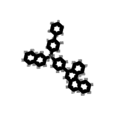 c1ccc(-c2ccc(N(c3ccc(-c4cc5ccc6ccccc6c5c5ccccc45)cc3)c3ccc4ccccc4c3)cc2)cc1